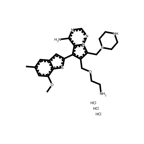 COc1cc(C)cc2cc(-c3c(COCCN)c(CN4CCNCC4)n4ncnc(N)c34)sc12.Cl.Cl.Cl